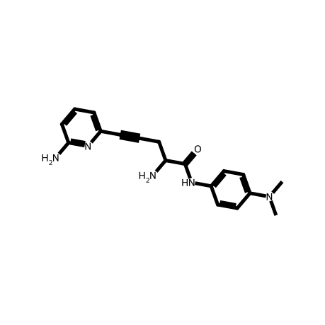 CN(C)c1ccc(NC(=O)C(N)CC#Cc2cccc(N)n2)cc1